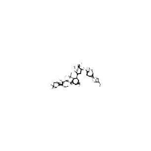 CCc1c(-c2cc(Nc3ccc(N4CC(CC)C4)cn3)c(=O)n(C)c2)cc(F)cc1N1CCc2c(sc3c2CC(C)(C)C3)C1=O